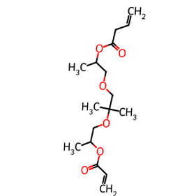 C=CCC(=O)OC(C)COCC(C)(C)OCC(C)OC(=O)C=C